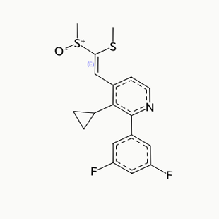 CS/C(=C\c1ccnc(-c2cc(F)cc(F)c2)c1C1CC1)[S+](C)[O-]